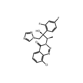 C[C@@H](n1nnc2c(Cl)cccc2c1=O)[C@](O)(Cn1cncn1)c1ccc(F)cc1F